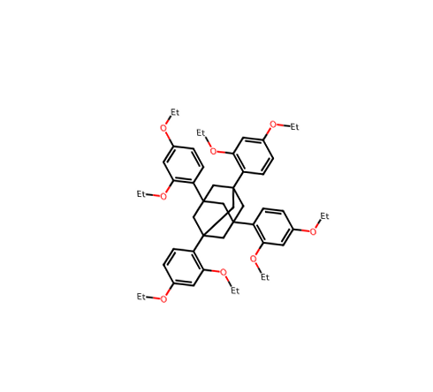 CCOc1ccc(C23CC4(c5ccc(OCC)cc5OCC)CC(c5ccc(OCC)cc5OCC)(C2)CC(c2ccc(OCC)cc2OCC)(C3)C4)c(OCC)c1